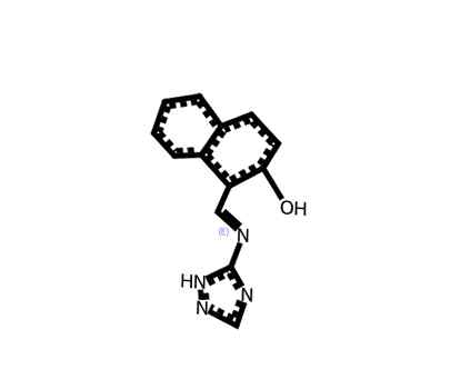 Oc1ccc2ccccc2c1/C=N/c1ncn[nH]1